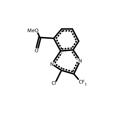 COC(=O)c1cccc2nc(C(F)(F)F)c(Cl)nc12